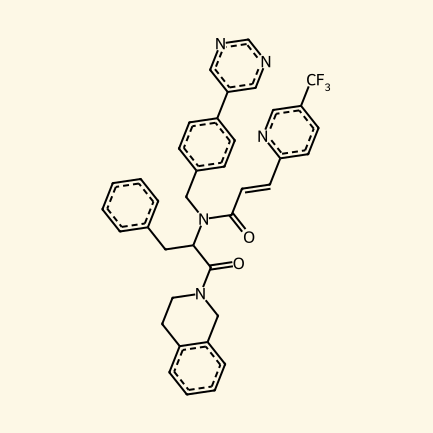 O=C(C(Cc1ccccc1)N(Cc1ccc(-c2cncnc2)cc1)C(=O)C=Cc1ccc(C(F)(F)F)cn1)N1CCc2ccccc2C1